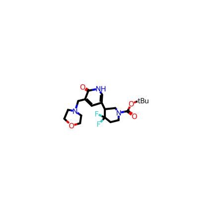 CC(C)(C)OC(=O)N1CCC(F)(F)C(c2c[nH]c(=O)c(CN3CCOCC3)c2)C1